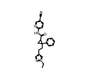 CCn1cc(CCC2(c3ccccc3)CC2C(=O)Nc2ccc(C#N)cn2)cn1